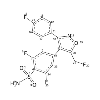 NS(=O)(=O)c1c(F)cc(-c2c(-c3ccc(F)cc3)noc2CF)cc1F